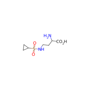 NC(CCNS(=O)(=O)C1CC1)C(=O)O